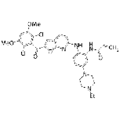 C=CC(=O)Nc1cc(N2CCN(CC)CC2)ccc1Nc1ccc2cc(C(=O)c3c(Cl)c(OC)cc(OC)c3Cl)oc2n1